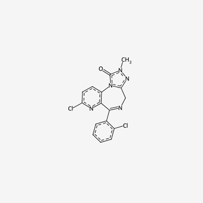 Cn1nc2n(c1=O)-c1ccc(Cl)nc1C(c1ccccc1Cl)=NC2